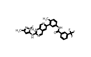 Cc1cc(Nc2ncc3cc(-c4cc(NC(=O)c5cccc(C(F)(F)F)c5)ccc4C)ncc3n2)n(C)n1